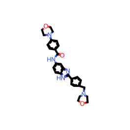 O=C(Nc1ccc2[nH]c(-c3ccc(CN4CCOCC4)cc3)nc2c1)c1ccc(N2CCOCC2)cc1